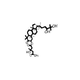 C[C@H](CCC(O)C(C)(C)O)[C@H]1CC[C@@]2(C)C3=C(CC[C@]12C)[C@@]1(C)C[C@@H](OC(=O)CC(C)(O)CC(=O)O)C(=O)C(C)(C)C1CC3